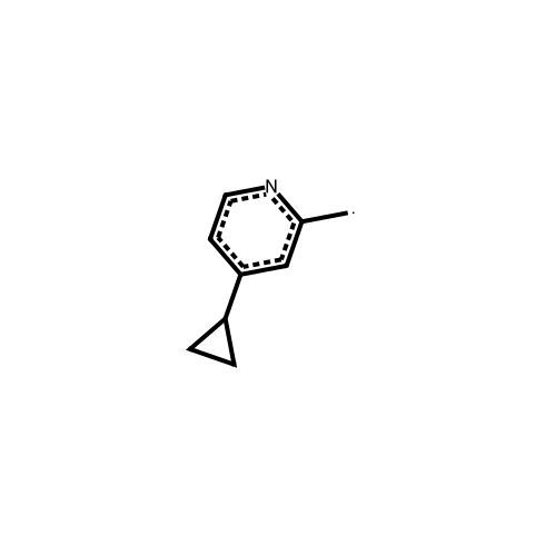 [CH2]c1cc(C2CC2)ccn1